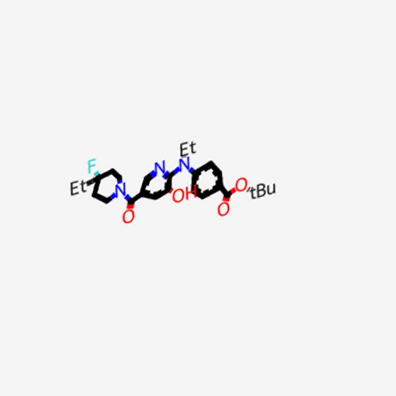 CCN(c1ccc(C(=O)OC(C)(C)C)cc1)c1ncc(C(=O)N2CCC(F)(CC)CC2)cc1O